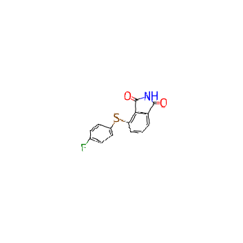 O=C1NC(=O)c2c(Sc3ccc(F)cc3)cccc21